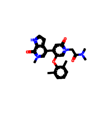 Cc1cccc(C)c1Oc1cn(CC(=O)N(C)C)c(=O)cc1-c1cn(C)c(=O)c2[nH]ccc12